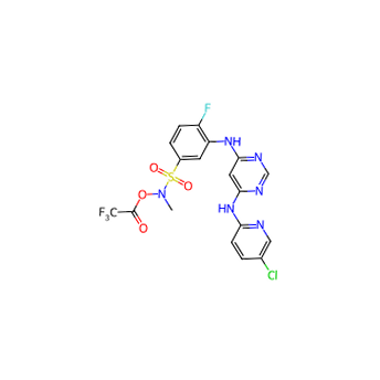 CN(OC(=O)C(F)(F)F)S(=O)(=O)c1ccc(F)c(Nc2cc(Nc3ccc(Cl)cn3)ncn2)c1